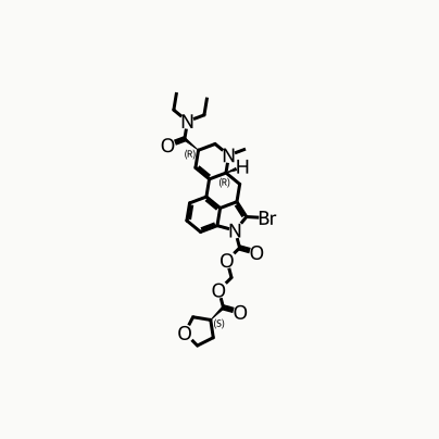 CCN(CC)C(=O)[C@@H]1C=C2c3cccc4c3c(c(Br)n4C(=O)OCOC(=O)[C@H]3CCOC3)C[C@H]2N(C)C1